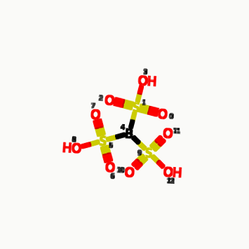 O=S(=O)(O)B(S(=O)(=O)O)S(=O)(=O)O